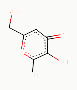 Cc1oc(CO)cc(=O)c1O